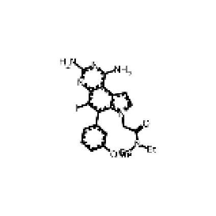 CCN(CC)C(=O)Cn1ccc2c3c(N)nc(N)nc3c(I)c(-c3cccc(OC)c3)c21